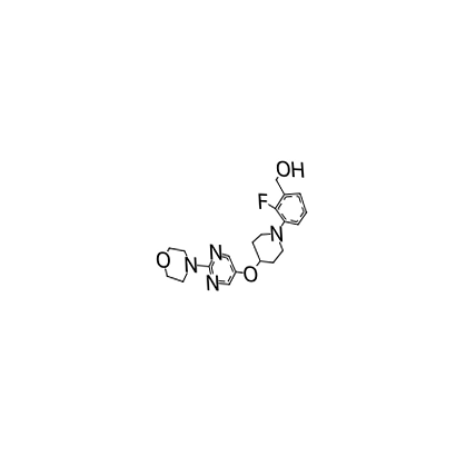 OCc1cccc(N2CCC(Oc3cnc(N4CCOCC4)nc3)CC2)c1F